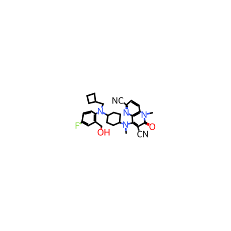 CN(c1c(C#N)c(=O)n(C)c2ccc(C#N)nc12)C1CCC(N(CC2CCC2)c2ccc(F)cc2CO)CC1